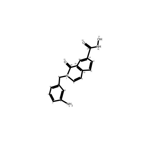 Nc1cccc(Cn2ccc3ccc(C(=O)NO)cc3c2=O)c1